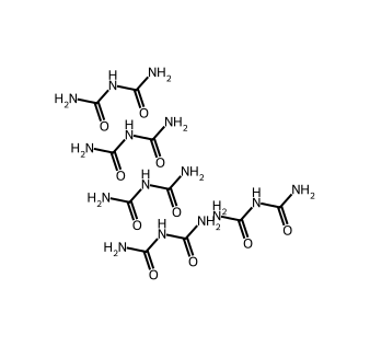 NC(=O)NC(N)=O.NC(=O)NC(N)=O.NC(=O)NC(N)=O.NC(=O)NC(N)=O.NC(=O)NC(N)=O